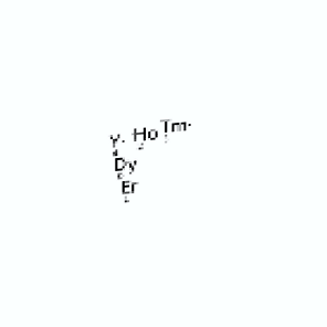 [Dy].[Er].[Ho].[Tm].[Y]